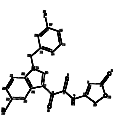 O=C1C=C(NC(=O)C(=O)c2cn(Cc3cccc(F)c3)c3ccc(Br)cc23)CO1